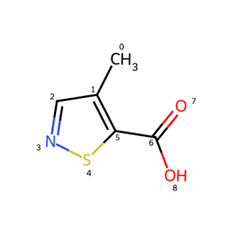 Cc1cnsc1C(=O)O